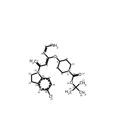 C=C(/C=C(\N=C/N)OC1CCN(C(=O)OC(C)(C)C)CC1)N1CCc2nc(Cl)ccc21